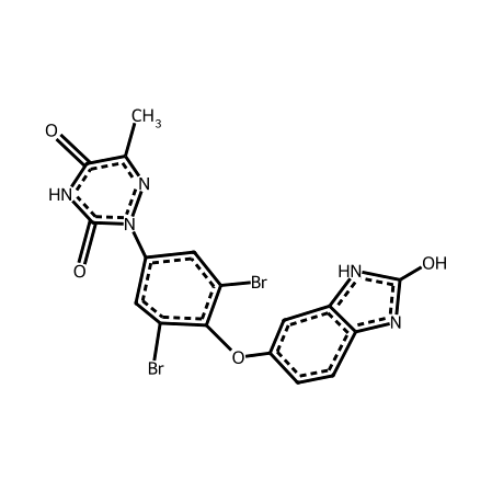 Cc1nn(-c2cc(Br)c(Oc3ccc4nc(O)[nH]c4c3)c(Br)c2)c(=O)[nH]c1=O